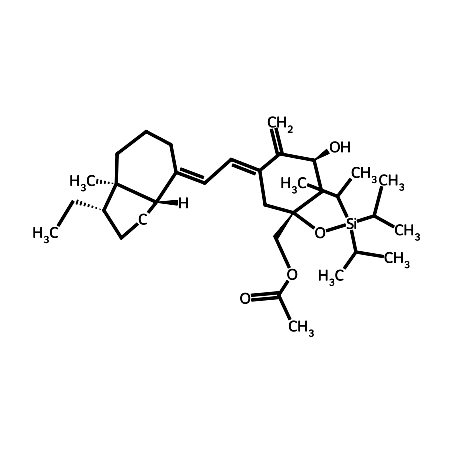 C=C1/C(=C/C=C2CCC[C@]3(C)[C@@H](CC)CC[C@@H]23)C[C@@](COC(C)=O)(O[Si](C(C)C)(C(C)C)C(C)C)C[C@@H]1O